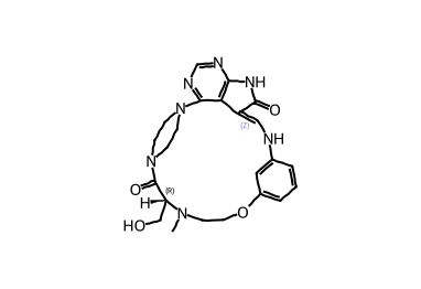 CN1CCOc2cccc(c2)N/C=C2\C(=O)Nc3ncnc(c32)N2CCN(CC2)C(=O)[C@H]1CO